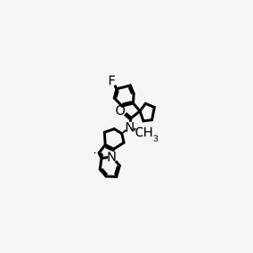 CN(C(=O)C1(c2ccc(F)cc2)CCCC1)[C@@H]1CCc2[c]c3ccccn3c2C1